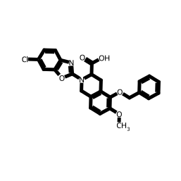 COc1ccc2c(c1OCc1ccccc1)CC(C(=O)O)N(c1nc3ccc(Cl)cc3o1)C2